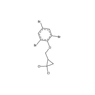 ClC1(Cl)CC1COc1c(Br)cc(Br)cc1Br